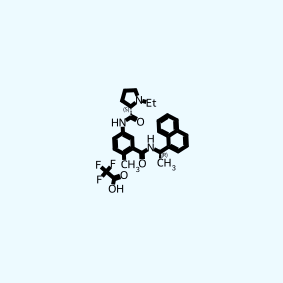 CCN1CCC[C@H]1C(=O)Nc1ccc(C)c(C(=O)N[C@H](C)c2cccc3ccccc23)c1.O=C(O)C(F)(F)F